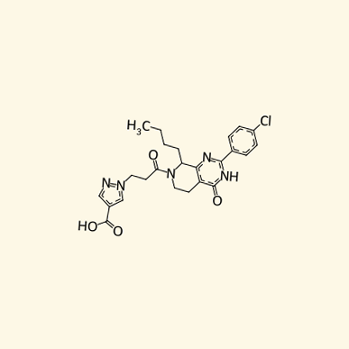 CCCCC1c2nc(-c3ccc(Cl)cc3)[nH]c(=O)c2CCN1C(=O)CCn1cc(C(=O)O)cn1